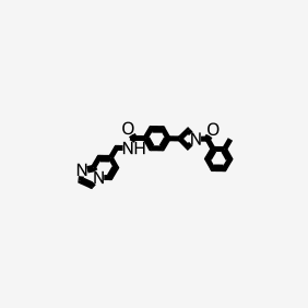 Cc1ccccc1C(=O)N1CC(c2ccc(C(=O)NCc3ccn4ccnc4c3)cc2)C1